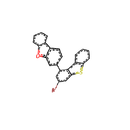 Brc1cc(-c2ccc3c(c2)oc2ccccc23)c2c(c1)sc1ccccc12